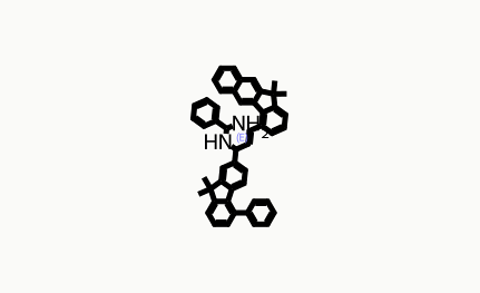 CC1(C)c2cc3ccccc3cc2-c2c(/C=C/C(NC(N)c3ccccc3)c3ccc4c(c3)C(C)(C)c3cccc(-c5ccccc5)c3-4)cccc21